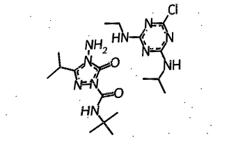 CC(C)c1nn(C(=O)NC(C)(C)C)c(=O)n1N.CCNc1nc(Cl)nc(NC(C)C)n1